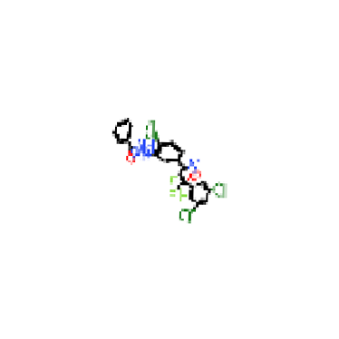 O=C(NNc1cc(C2=NOC(c3cc(Cl)cc(Cl)c3)(C(F)(F)F)C2)ccc1Cl)c1ccccc1